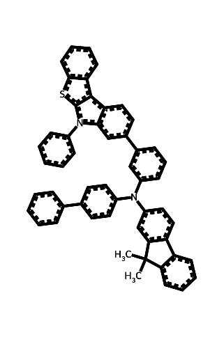 CC1(C)c2ccccc2-c2ccc(N(c3ccc(-c4ccccc4)cc3)c3cccc(-c4ccc5c6c7ccccc7sc6n(-c6ccccc6)c5c4)c3)cc21